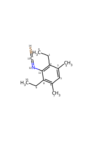 CCc1c(C)cc(C)c(CC)c1N=C=S